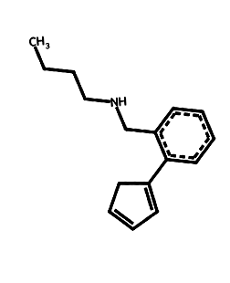 CCCCNCc1ccccc1C1=CC=CC1